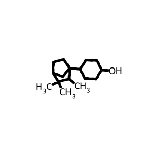 CC1C(C)(C)C2CCC1(C1CCC(O)CC1)C2